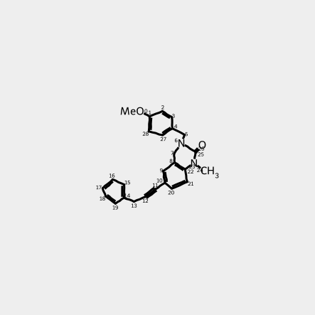 COc1ccc(CN2Cc3cc(C#CCc4ccccc4)ccc3N(C)C2=O)cc1